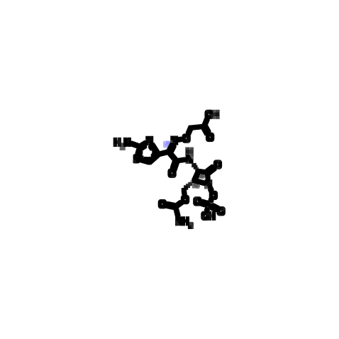 NC(=O)OC[C@@H]1[C@H](NC(=O)/C(=N\OCC(=O)O)c2csc(N)n2)C(=O)N1OS(=O)(=O)O